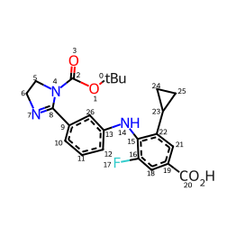 CC(C)(C)OC(=O)N1CCN=C1c1cccc(Nc2c(F)cc(C(=O)O)cc2C2CC2)c1